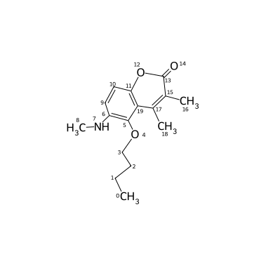 CCCCOc1c(NC)ccc2oc(=O)c(C)c(C)c12